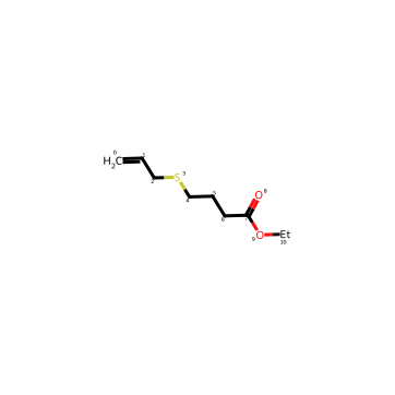 C=CCSCCCC(=O)OCC